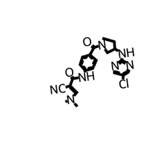 CN(C)C=C(C#N)C(=O)Nc1ccc(C(=O)N2CCC(Nc3ncc(Cl)cn3)C2)cc1